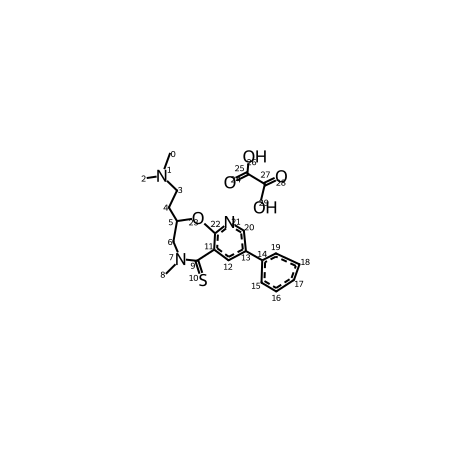 CN(C)CCC1CN(C)C(=S)c2cc(-c3ccccc3)cnc2O1.O=C(O)C(=O)O